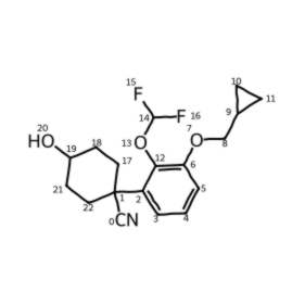 N#CC1(c2cccc(OCC3CC3)c2OC(F)F)CCC(O)CC1